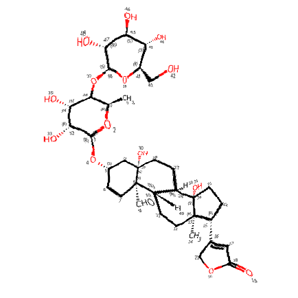 C[C@H]1O[C@@H](O[C@H]2CC[C@]3(C=O)[C@H]4CC[C@]5(C)[C@@H](C6=CC(=O)OC6)CC[C@]5(O)[C@@H]4CC[C@]3(O)C2)[C@H](O)[C@H](O)C1O[C@@H]1O[C@H](CO)[C@@H](O)[C@H](O)[C@H]1O